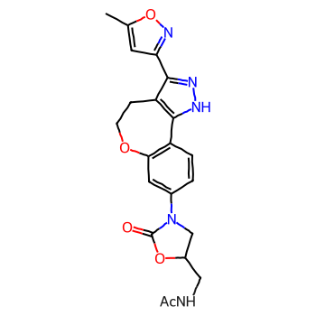 CC(=O)NCC1CN(c2ccc3c(c2)OCCc2c(-c4cc(C)on4)n[nH]c2-3)C(=O)O1